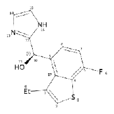 CCc1csc2c(F)ccc([C@@H](O)c3ncc[nH]3)c12